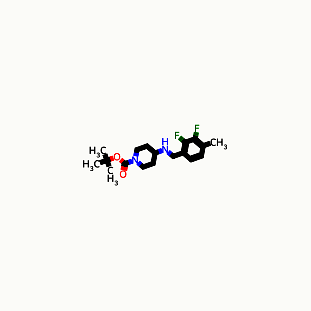 Cc1ccc(CNC2CCN(C(=O)OC(C)(C)C)CC2)c(F)c1F